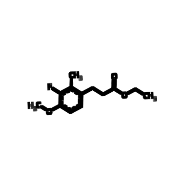 CCOC(=O)CCc1ccc(OC)c(F)c1C